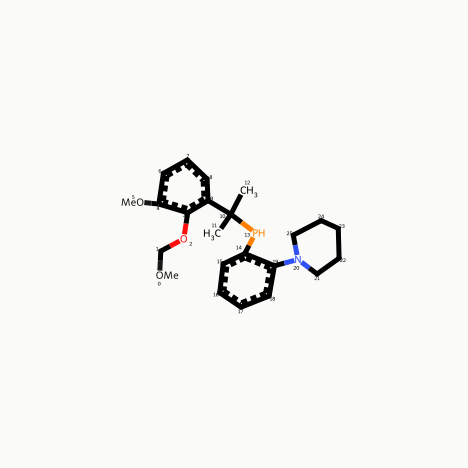 COCOc1c(OC)cccc1C(C)(C)Pc1ccccc1N1CCCCC1